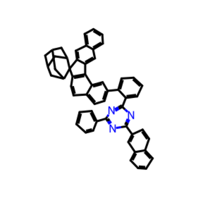 c1ccc(-c2nc(-c3ccc4ccccc4c3)nc(-c3ccccc3-c3ccc4ccc5c(c4c3)-c3cc4ccccc4cc3C53C4CC5CC(C4)CC3C5)n2)cc1